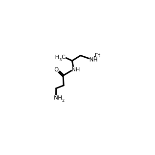 CCNCC(C)NC(=O)CCN